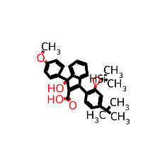 COc1ccc(C2(O)C(C(=O)O)=C(c3ccc(C(C)(C)C)cc3O[SiH](C)C)c3ccccc32)cc1